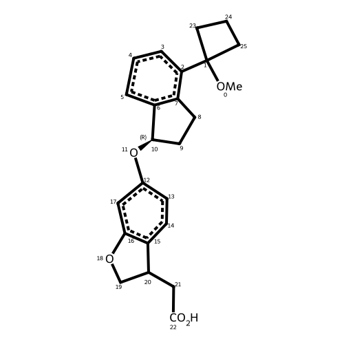 COC1(c2cccc3c2CC[C@H]3Oc2ccc3c(c2)OCC3CC(=O)O)CCC1